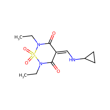 CCN1C(=O)C(=CNC2CC2)C(=O)N(CC)S1(=O)=O